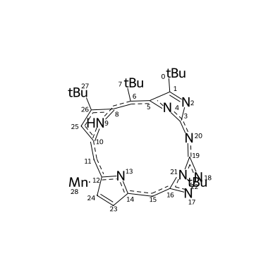 CC(C)(C)C1=Nc2nc1c(C(C)(C)C)c1[nH]c(cc3nc(cc4nnc(n2)n4C(C)(C)C)C=C3)cc1C(C)(C)C.[Mn]